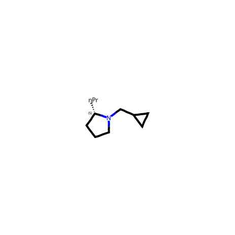 CCC[C@H]1CCCN1CC1CC1